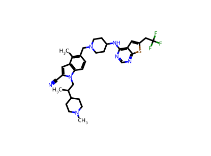 Cc1c(CN2CCC(Nc3ncnc4sc(CC(F)(F)F)cc34)CC2)ccc2c1cc(C#N)n2CC(C)C1CCN(C)CC1